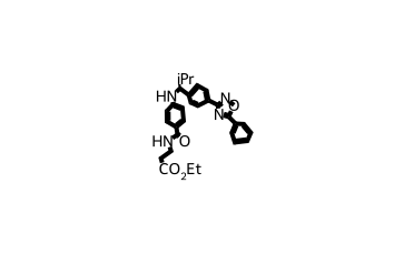 CCOC(=O)CCNC(=O)c1ccc(N[C@H](c2ccc(-c3noc(-c4ccccc4)n3)cc2)C(C)C)cc1